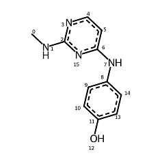 CNc1nccc(Nc2ccc(O)cc2)n1